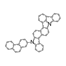 c1ccc2c(c1)ccc1cc(-n3c4ccccc4c4c5ccc6c(c5ccc43)c3cccc4c5ccccc5n6c43)ccc12